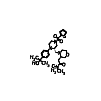 CN(C)C(=O)C[C@@H]1COCCN1C[C@H]1CN(S(=O)(=O)c2cccs2)CCN1c1ccc(C(C)(C)O)cc1